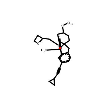 COC1CCC2(CC1)Cc1ccc(C#CC3CC3)cc1C21N=C(N)N(CC2CCO2)C1=O